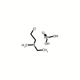 CCN(C)CCCl.O=[PH](O)O